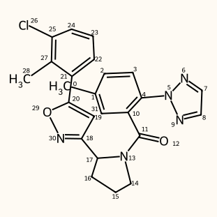 Cc1ccc(-n2nccn2)c(C(=O)N2CCCC2c2cc(-c3cccc(Cl)c3C)on2)c1